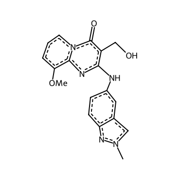 COc1cccn2c(=O)c(CO)c(Nc3ccc4nn(C)cc4c3)nc12